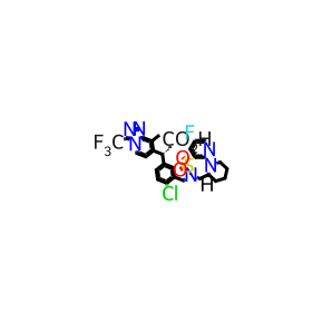 Cc1c([C@H](CC(=O)O)c2ccc(Cl)c(CN3C[C@@H]4CCCCN4c4ncc(F)cc4S3(=O)=O)c2)ccn2c(C(F)(F)F)nnc12